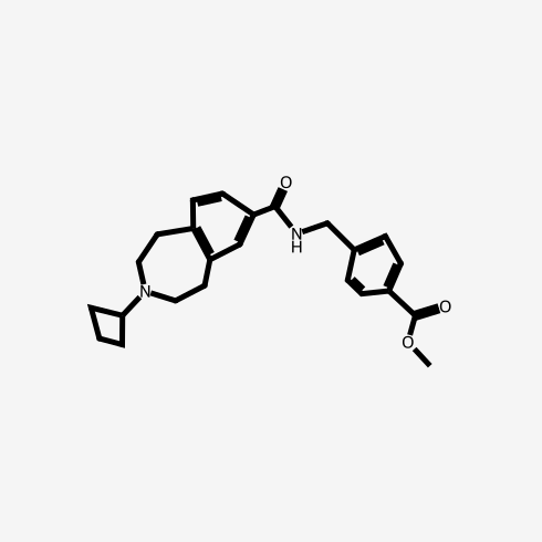 COC(=O)c1ccc(CNC(=O)c2ccc3c(c2)CCN(C2CCC2)CC3)cc1